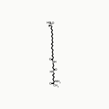 CC(=O)[C@@H](N)CCCCNC(=O)CCCNC(=O)CCCCCCCCCCCCCCCCCS(=O)(=O)O